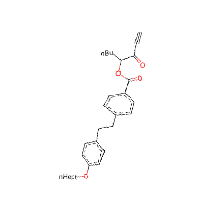 C#CC(=O)C(CCCC)OC(=O)c1ccc(CCc2ccc(OCCCCCCC)cc2)cc1